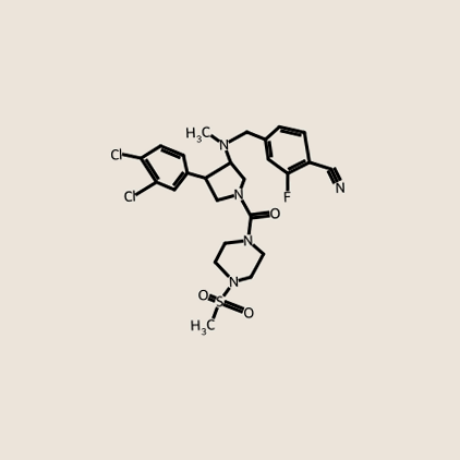 CN(Cc1ccc(C#N)c(F)c1)C1CN(C(=O)N2CCN(S(C)(=O)=O)CC2)CC1c1ccc(Cl)c(Cl)c1